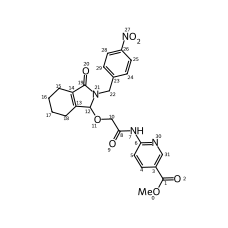 COC(=O)c1ccc(NC(=O)COC2C3=C(CCCC3)C(=O)N2Cc2ccc([N+](=O)[O-])cc2)nc1